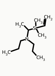 C=C[Si](C)(C)C(C)N(CCC)CCC